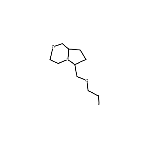 CCCOCC1CCC2COCCN12